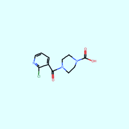 O=C(O)N1CCN(C(=O)c2cccnc2Cl)CC1